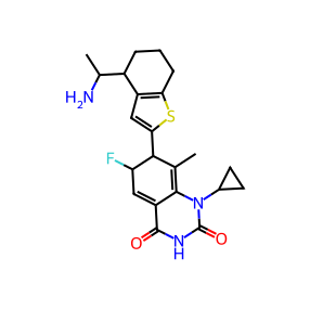 CC1=c2c(c(=O)[nH]c(=O)n2C2CC2)=CC(F)C1c1cc2c(s1)CCCC2C(C)N